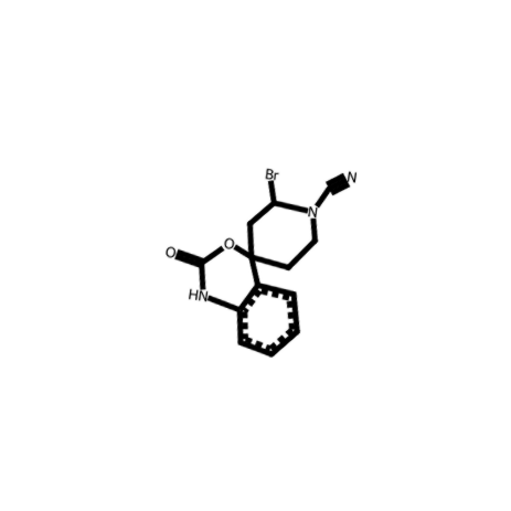 N#CN1CCC2(CC1Br)OC(=O)Nc1ccccc12